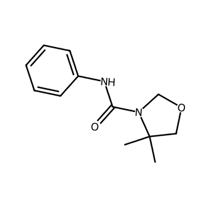 CC1(C)COCN1C(=O)Nc1ccccc1